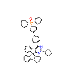 O=P(c1ccccc1)(c1ccccc1)c1ccc(-c2ccc(-c3nc(-c4ccccc4)nc4c3-c3ccccc3C43c4ccccc4-c4ccccc43)cc2)cc1